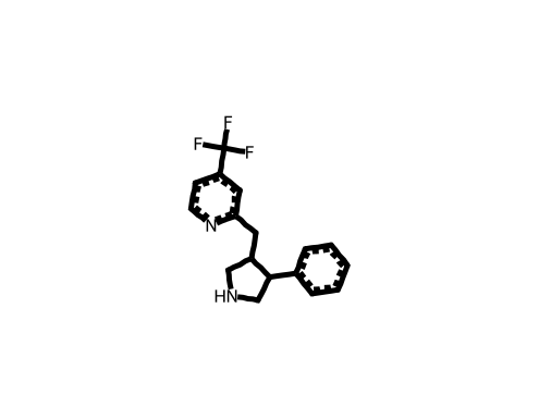 FC(F)(F)c1ccnc(CC2CNCC2c2ccccc2)c1